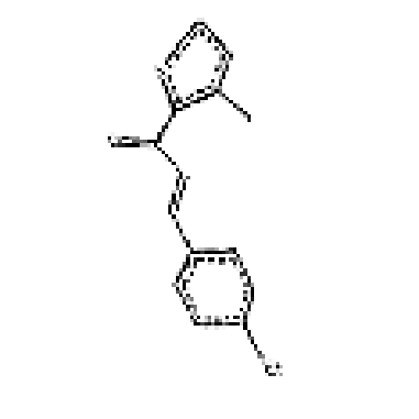 CCc1ccc(C=CC(=O)c2sccc2C)cc1